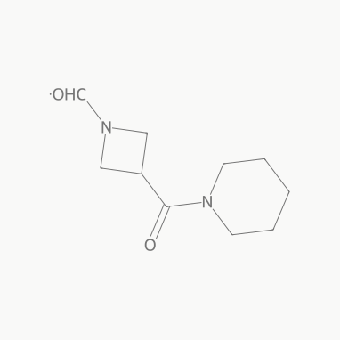 O=[C]N1CC(C(=O)N2CCCCC2)C1